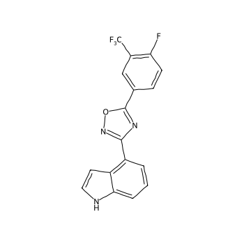 Fc1ccc(-c2nc(-c3cccc4[nH]ccc34)no2)cc1C(F)(F)F